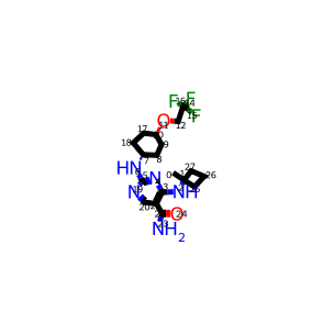 CC1(Nc2nc(N[C@H]3CC[C@H](OCC(F)(F)F)CC3)ncc2C(N)=O)CCC1